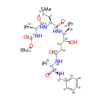 CSCC[C@H](NC(=O)[C@@H](NC(=O)OC(C)(C)C)C(C)C)C(=O)N[C@@H](CC(C)C)[C@@H](O)CCC(=O)N[C@H](C(=O)NCc1ccccc1)C(C)C